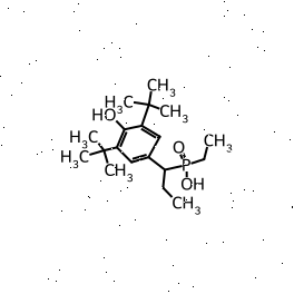 CCC(c1cc(C(C)(C)C)c(O)c(C(C)(C)C)c1)P(=O)(O)CC